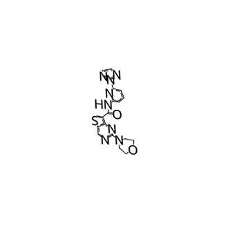 O=C(Nc1cccc(-n2nccn2)n1)c1csc2cnc(N3CCOCC3)nc12